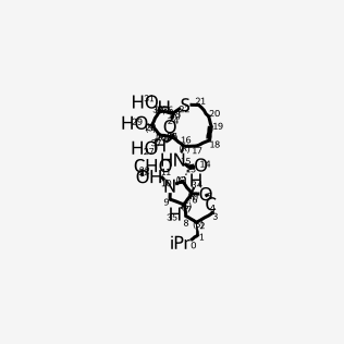 CC(C)C[C@@H]1CCO[C@@H]2[C@@H](C1)CN(C)[C@@H]2C(=O)N[C@@H]1CC=CCCS[C@H]2O[C@H]1[C@H](O)[C@H](O)[C@H]2O.O=CO